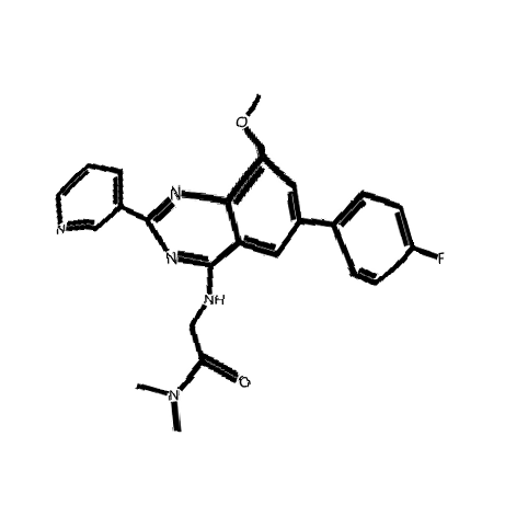 COc1cc(-c2ccc(F)cc2)cc2c(NCC(=O)N(C)C)nc(-c3cccnc3)nc12